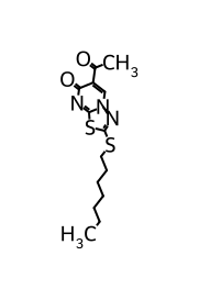 CCCCCCCSc1nn2cc(C(C)=O)c(=O)nc2s1